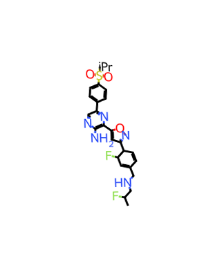 CC(F)CNCC1=CC(F)C(c2cc(-c3nc(-c4ccc(S(=O)(=O)C(C)C)cc4)cnc3N)on2)C=C1